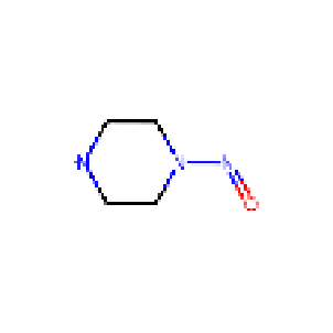 O=NN1CC[N]CC1